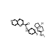 NC1=N[C@@]2(c3cc(NC(=O)c4ccc5cnccc5n4)ccc3F)CCC[C@H]2CS1